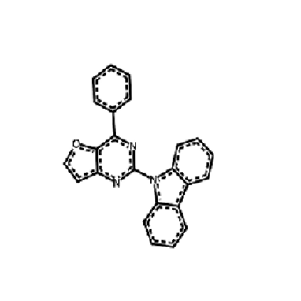 c1ccc(-c2nc(-n3c4ccccc4c4ccccc43)nc3ccoc23)cc1